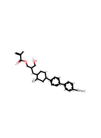 C=C(C)C(=O)OCC(CO)CC1CCC(c2ccc(-c3ccc(CCCCC)cc3)cc2)CC1CC